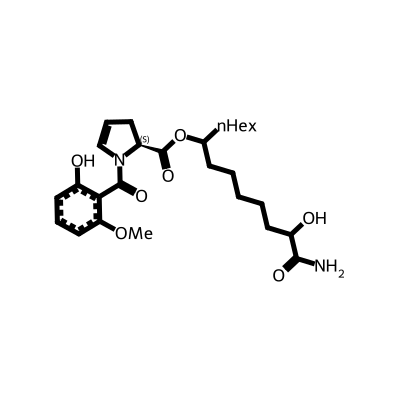 CCCCCCC(CCCCCC(O)C(N)=O)OC(=O)[C@@H]1CC=CN1C(=O)c1c(O)cccc1OC